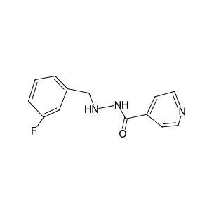 O=C(NNCc1cccc(F)c1)c1ccncc1